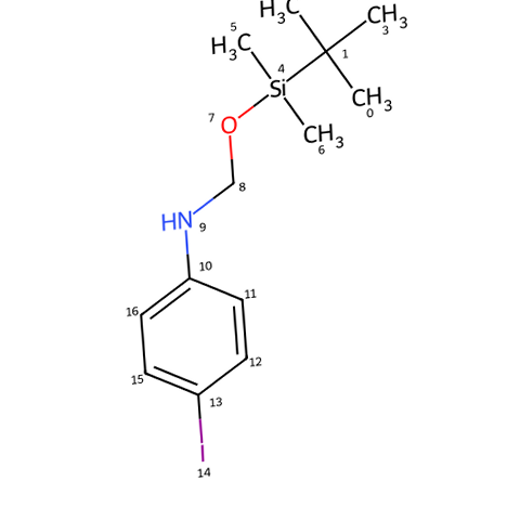 CC(C)(C)[Si](C)(C)OCNc1ccc(I)cc1